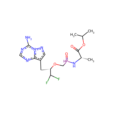 CC(C)OC(=O)[C@H](C)N[PH](=O)CO[C@@H](Cc1cnn2c(N)ncnc12)C(F)F